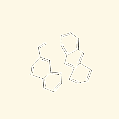 C=Cc1ccc2ccccc2c1.c1ccc2cc3ccccc3cc2c1